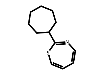 C1=CN=C([C]2CCCCCC2)SC=C1